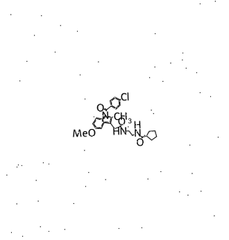 COc1ccc2c(c1)c(CC(=O)NCCNC(=O)C1CCCC1)c(C)n2C(=O)c1ccc(Cl)cc1